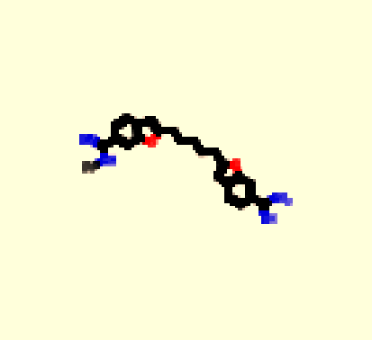 CC(C)NC(=N)c1ccc2cc(CCCCCc3cc4ccc(C(=N)N)cc4o3)oc2c1